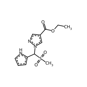 CCOC(=O)c1cnn(C(c2ccc[nH]2)S(C)(=O)=O)c1